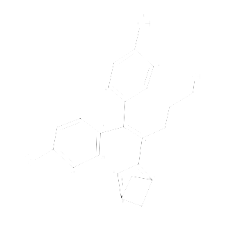 OCCCC(C1=C2CC(=C1)C2)=C(c1ccc(O)cc1)c1ccc(O)cc1